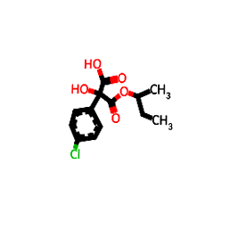 CCC(C)OC(=O)C(O)(C(=O)O)c1ccc(Cl)cc1